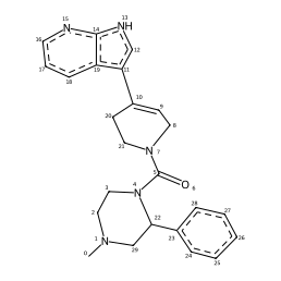 CN1CCN(C(=O)N2CC=C(c3c[nH]c4ncccc34)CC2)C(c2ccccc2)C1